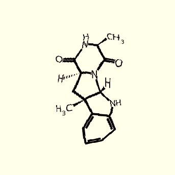 C[C@@H]1NC(=O)[C@@H]2C[C@@]3(C)c4ccccc4N[C@H]3N2C1=O